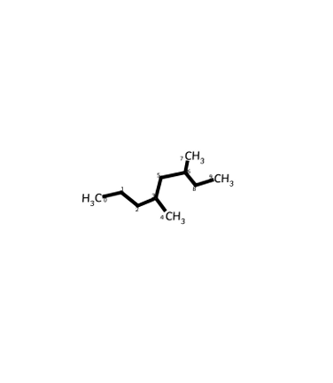 CCCC(C)[CH]C(C)CC